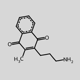 CC1=C(CCCN)C(=O)c2ccccc2C1=O